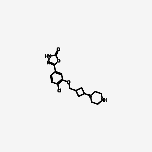 O=c1[nH]nc(-c2ccc(Cl)c(OCC3CC(N4CCNCC4)C3)c2)o1